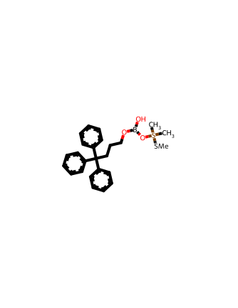 CSS(C)(C)OB(O)OCCCC(c1ccccc1)(c1ccccc1)c1ccccc1